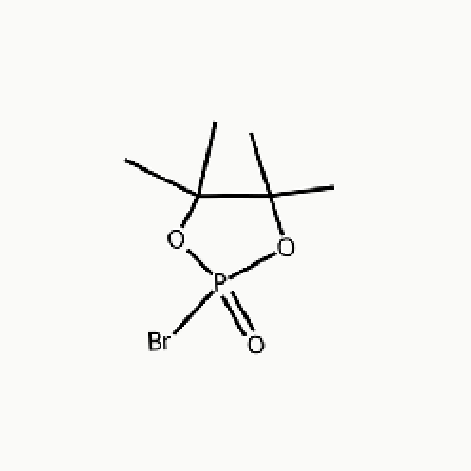 CC1(C)OP(=O)(Br)OC1(C)C